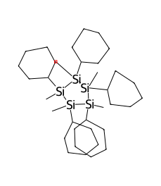 C[Si]1(C2CCCCC2)[Si](C)(C2CCCCC2)[Si](C)(C2CCCCC2)[Si](C)(C2CCCCC2)[Si]1(C)C1CCCCC1